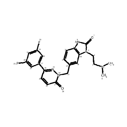 CN(C)CCn1c(=O)[nH]c2ccc(Cn3nc(-c4cc(F)cc(F)c4)ccc3=O)cc21